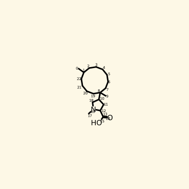 CC1CCCCCCC(C)(C2CC(C(=O)O)N(C)C2)CCCC1